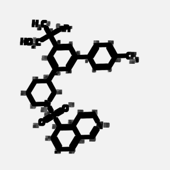 CCCC(C)(C(=O)O)c1cc(-c2ccc(C(F)(F)F)cc2)cc(C2CCCN(S(=O)(=O)c3cccc4cnccc34)C2)c1